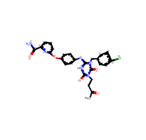 COC(=O)CCn1c(=O)[nH]/c(=N\c2ccc(Oc3cccc(C(N)=O)n3)cc2)n(Cc2ccc(Cl)cc2)c1=O